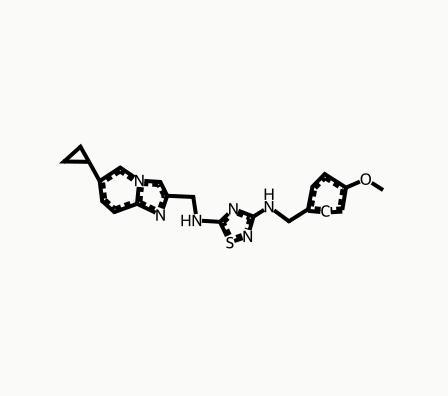 COc1ccc(CNc2nsc(NCc3cn4cc(C5CC5)ccc4n3)n2)cc1